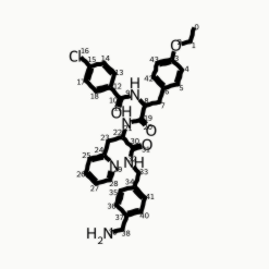 CCOc1ccc(CC(NC(=O)c2ccc(Cl)cc2)C(=O)NC(Cc2ccccn2)C(=O)NCc2ccc(CN)cc2)cc1